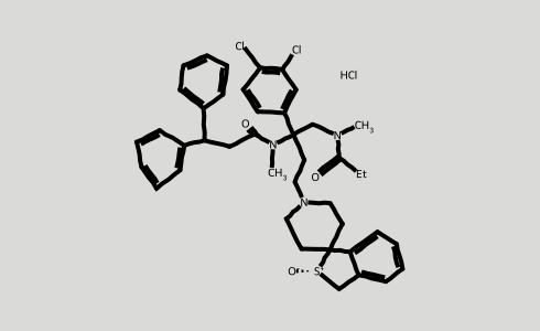 CCC(=O)N(C)CC(CCN1CCC2(CC1)c1ccccc1C[S@+]2[O-])(c1ccc(Cl)c(Cl)c1)N(C)C(=O)CC(c1ccccc1)c1ccccc1.Cl